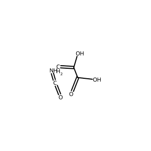 C=C(O)C(=O)O.N=C=O